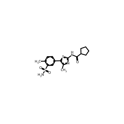 Cc1ccc(-c2sc(NC(=O)C3CCCC3)nc2C)cc1S(N)(=O)=O